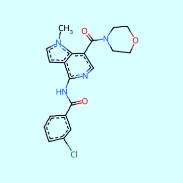 Cn1ccc2c(NC(=O)c3cccc(Cl)c3)ncc(C(=O)N3CCOCC3)c21